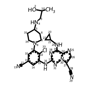 CC(O)CNC1CCN(c2cc(C#N)cc(Nc3nc(NC4CC4)c4ncc(C#N)n4n3)c2Cl)CC1